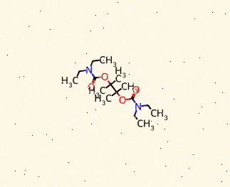 CCN(CC)C(=O)OC(C)(C)C(C)(C)OC(=O)N(CC)CC